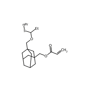 C=CC(=O)OCC12CC3CC(C1)CC(COC(CC)SCCC)(C3)C2